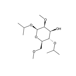 COC[C@H]1O[C@@H](OC(C)C)[C@@H](OC)[C@@H](O)[C@@H]1OC(C)C